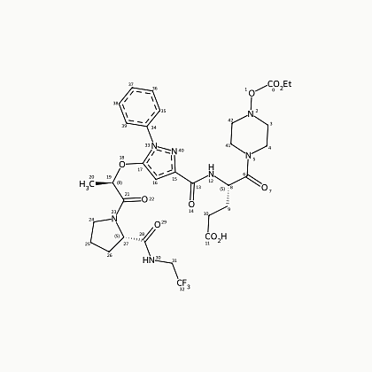 CCOC(=O)ON1CCN(C(=O)[C@H](CCC(=O)O)NC(=O)c2cc(O[C@H](C)C(=O)N3CCC[C@H]3C(=O)NCC(F)(F)F)n(-c3ccccc3)n2)CC1